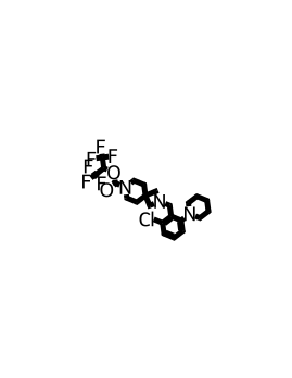 O=C(OC(C(F)(F)F)C(F)(F)F)N1CCC2(CC1)CN(Cc1c(Cl)cccc1N1CCCCC1)C2